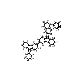 c1ccc(-n2c3ccccc3c3cc(-c4ccc5c(c4)c4ccccc4n5-c4cc5cccc6c5c(n4)-c4cnccc4-6)ccc32)cc1